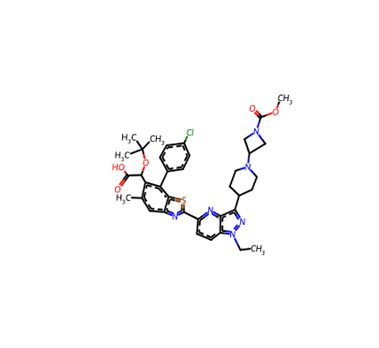 CCn1nc(C2CCN(C3CN(C(=O)OC)C3)CC2)c2nc(-c3nc4cc(C)c(C(OC(C)(C)C)C(=O)O)c(-c5ccc(Cl)cc5)c4s3)ccc21